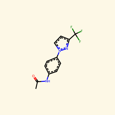 CC(=O)Nc1ccc(-n2ccc(C(F)(F)F)n2)cc1